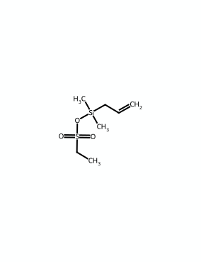 C=CC[Si](C)(C)OS(=O)(=O)CC